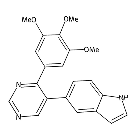 COc1cc(-c2ncncc2-c2ccc3[nH]ccc3c2)cc(OC)c1OC